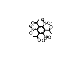 CC(=O)c1c([N+](=O)[O-])c(C(C)=O)c([N+](=O)[O-])c(C(C)=O)c1[N+](=O)[O-]